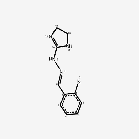 Brc1ccccc1/C=N/NC1=NCCN1